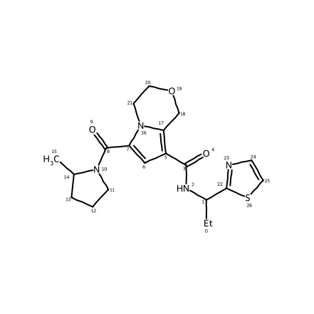 CCC(NC(=O)c1cc(C(=O)N2CCCC2C)n2c1COCC2)c1nccs1